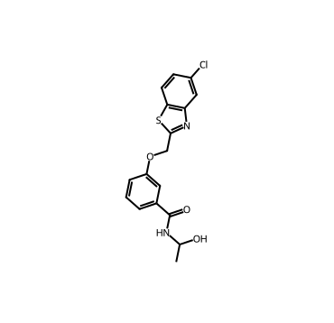 CC(O)NC(=O)c1cccc(OCc2nc3cc(Cl)ccc3s2)c1